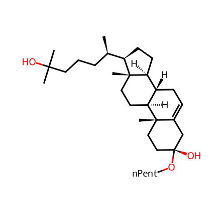 CCCCCO[C@]1(O)CC[C@@]2(C)C(=CC[C@H]3[C@@H]4CC[C@H]([C@H](C)CCCC(C)(C)O)[C@@]4(C)CC[C@@H]32)C1